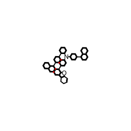 C1=Cc2oc3c(-c4ccc(N(c5ccc(-c6cccc7ccccc67)cc5)c5ccccc5-c5ccc(-c6cccc7ccccc67)cc5)cc4)cccc3c2CC1